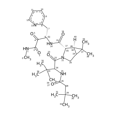 CNC(=O)C(=O)[C@H](Cc1ccccn1)NC(=O)[C@@H]1[C@@H]2C(CN1C(=O)C(NC(=O)CC(C)(C)C)C(C)(C)C)C2(C)C